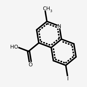 Cc1cc(C(=O)O)c2cc(I)ccc2n1